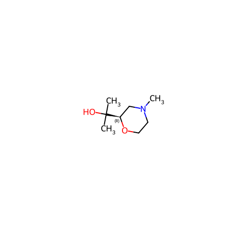 CN1CCO[C@@H](C(C)(C)O)C1